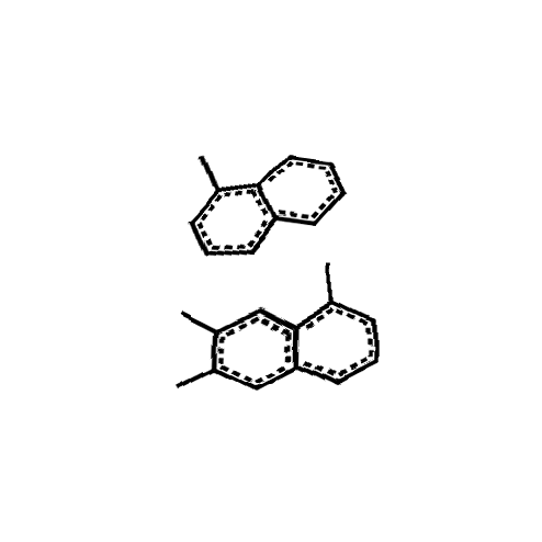 Cc1cc2cccc(C)c2cc1C.Cc1cccc2ccccc12